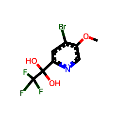 COc1cnc(C(O)(O)C(F)(F)F)cc1Br